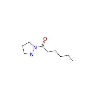 CCCCCC(=O)N1CCC[N]1